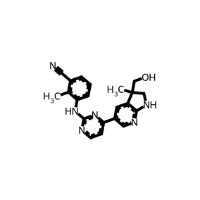 Cc1c(C#N)cccc1Nc1nccc(-c2cnc3c(c2)C(C)(CO)CN3)n1